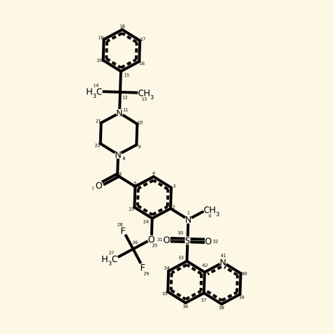 CN(c1ccc(C(=O)N2CCN(C(C)(C)c3ccccc3)CC2)cc1OC(C)(F)F)S(=O)(=O)c1cccc2cccnc12